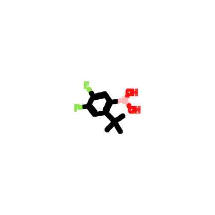 CC(C)(C)c1cc(F)c(F)cc1B(O)O